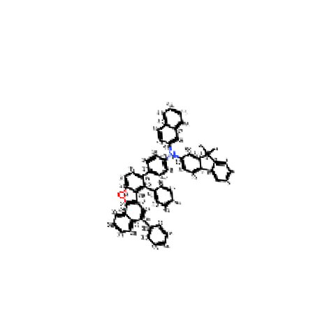 CC1(C)c2ccccc2-c2ccc(N(c3ccc(-c4ccc5oc6c7ccccc7c(-c7ccccc7)cc6c5c4-c4ccccc4)cc3)c3ccc4ccccc4c3)cc21